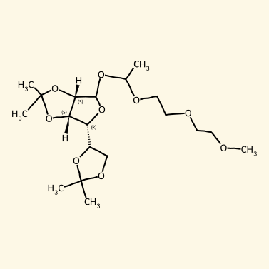 COCCOCCOC(C)OC1O[C@H](C2COC(C)(C)O2)[C@@H]2OC(C)(C)O[C@H]12